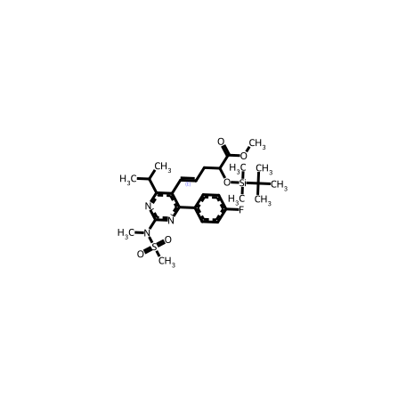 COC(=O)C(C/C=C/c1c(-c2ccc(F)cc2)nc(N(C)S(C)(=O)=O)nc1C(C)C)O[Si](C)(C)C(C)(C)C